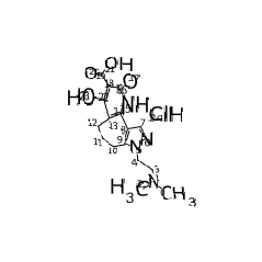 CN(C)CCn1ncc2c1CCCc1c-2[nH]c(=O)c(C(=O)O)c1O.Cl